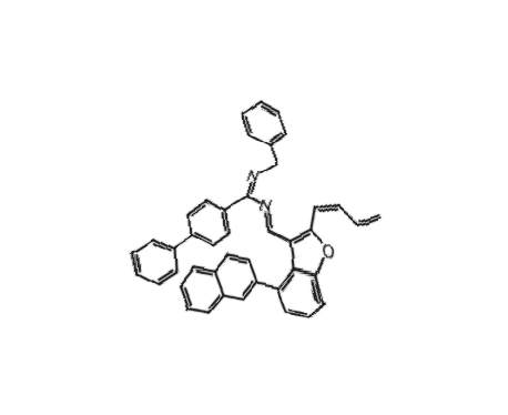 C=C/C=C\c1oc2cccc(-c3ccc4ccccc4c3)c2c1/C=N/C(=N\Cc1ccccc1)c1ccc(-c2ccccc2)cc1